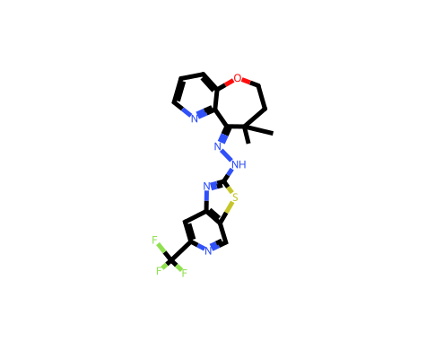 CC1(C)CCOc2cccnc2/C1=N/Nc1nc2cc(C(F)(F)F)ncc2s1